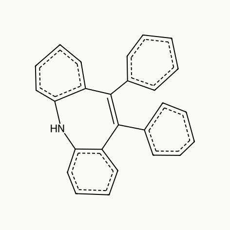 c1ccc(C2=C(c3ccccc3)c3ccccc3Nc3ccccc32)cc1